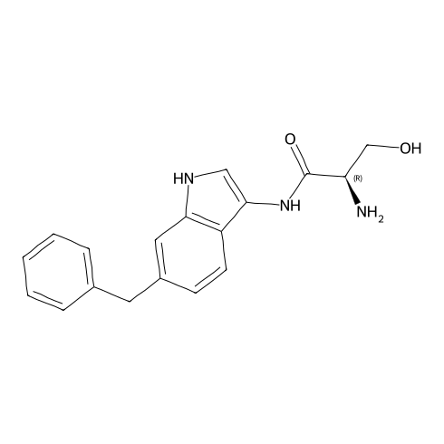 N[C@H](CO)C(=O)Nc1c[nH]c2cc(Cc3ccccc3)ccc12